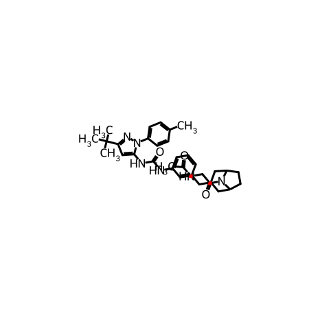 CC(=O)NCC(=O)N1C2CCC1CC(Cc1cccc(NC(=O)Nc3cc(C(C)(C)C)nn3-c3ccc(C)cc3)c1)C2